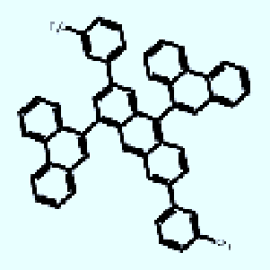 FC(F)(F)c1cccc(-c2ccc3c(-c4cc5ccccc5c5ccccc45)c4cc(-c5cccc(C(F)(F)F)c5)cc(-c5cc6ccccc6c6ccccc56)c4cc3c2)c1